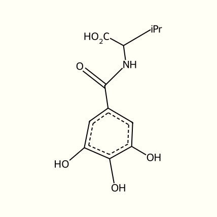 CC(C)C(NC(=O)c1cc(O)c(O)c(O)c1)C(=O)O